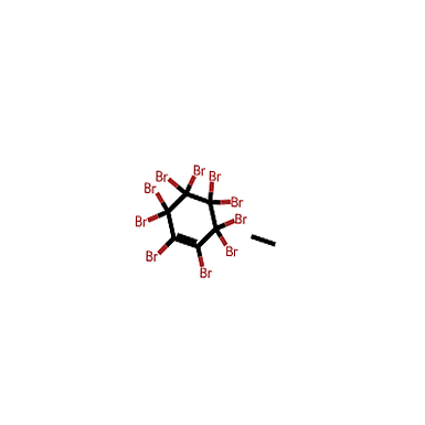 BrC1=C(Br)C(Br)(Br)C(Br)(Br)C(Br)(Br)C1(Br)Br.CC